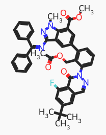 COC(=O)c1cc(-c2cccc(-n3ncc4cc(C(C)(C)C)cc(F)c4c3=O)c2COC(C)=O)cc2c(N=C(c3ccccc3)c3ccccc3)nn(C)c12